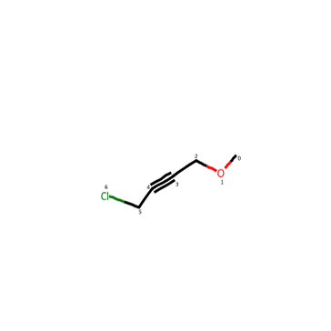 COCC#CCCl